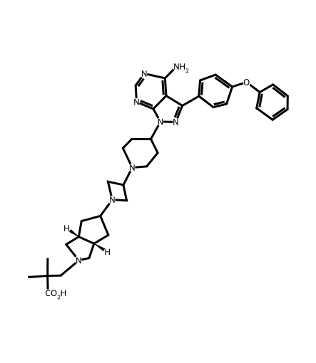 CC(C)(CN1C[C@H]2CC(N3CC(N4CCC(n5nc(-c6ccc(Oc7ccccc7)cc6)c6c(N)ncnc65)CC4)C3)C[C@H]2C1)C(=O)O